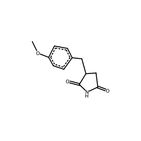 COc1ccc(CC2CC(=O)NC2=O)cc1